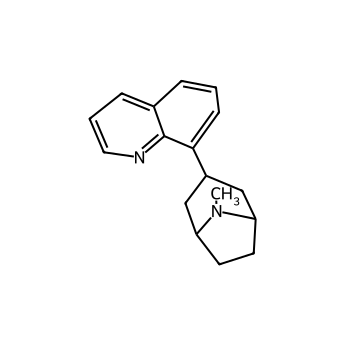 CN1C2CCC1CC(c1cccc3cccnc13)C2